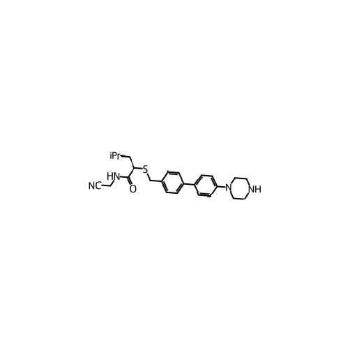 CC(C)CC(SCc1ccc(-c2ccc(N3CCNCC3)cc2)cc1)C(=O)NCC#N